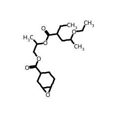 CCOC(C)CC(CC)C(=O)OC(C)COC(=O)C1CCC2OC2C1